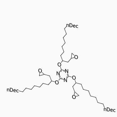 CCCCCCCCCCCCCCCCCC(CC1CO1)Oc1nc(OC(CCCCCCCCCCCCCCCCC)CC2CO2)nc(OC(CCCCCCCCCCCCCCCCC)CC2CO2)n1